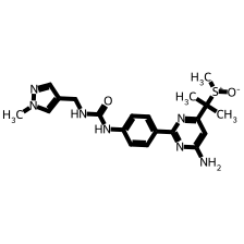 Cn1cc(CNC(=O)Nc2ccc(-c3nc(N)cc(C(C)(C)[S+](C)[O-])n3)cc2)cn1